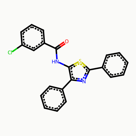 O=C(Nc1sc(-c2ccccc2)nc1-c1ccccc1)c1cccc(Cl)c1